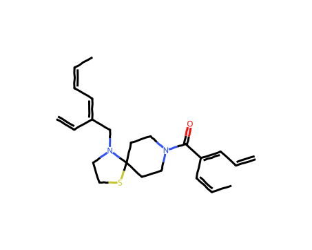 C=C/C=C(\C=C/C)C(=O)N1CCC2(CC1)SCCN2C/C(C=C)=C/C=C\C